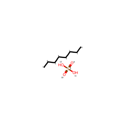 CCCCCCCC.O=S(=O)(O)O